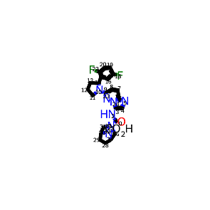 O=C(Nc1cnc2ccc(N3CCCC3c3cc(F)ccc3F)nn12)N1CC2CCC(C1)N2C(=O)O